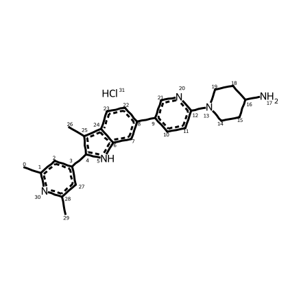 Cc1cc(-c2[nH]c3cc(-c4ccc(N5CCC(N)CC5)nc4)ccc3c2C)cc(C)n1.Cl